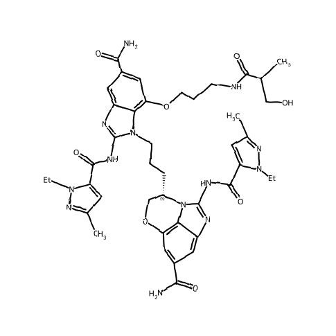 CCn1nc(C)cc1C(=O)Nc1nc2cc(C(N)=O)cc(OCCCNC(=O)C(C)CO)c2n1CCC[C@H]1COc2cc(C(N)=O)cc3nc(NC(=O)c4cc(C)nn4CC)n1c23